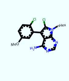 CCCCCCn1c(Cl)c(-c2cc(OC)ccc2Cl)c2c(N)ncnc21